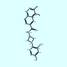 Cc1nnc2ccc(C(=O)NC3CN(c4ncc(F)cc4Cl)C3)cc2c1C